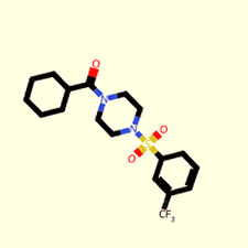 O=C(C1CCCCC1)N1CCN(S(=O)(=O)C2C=C(C(F)(F)F)C=CC2)CC1